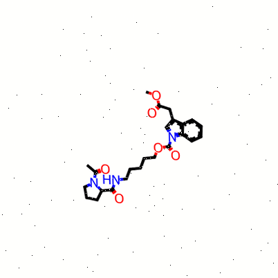 COC(=O)Cc1cn(C(=O)OCCCCCNC(=O)C2CCCN2C(C)=O)c2ccccc12